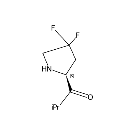 CC(C)C(=O)[C@@H]1CC(F)(F)CN1